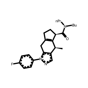 CCCN(C(=O)[C@@H]1CCC2=C1[C@@H](C)c1cnn(-c3ccc(F)cc3)c1C2)C(C)CC